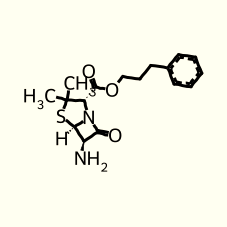 CC1(C)S[C@@H]2[C@H](N)C(=O)N2[C@H]1C(=O)OCCCc1ccccc1